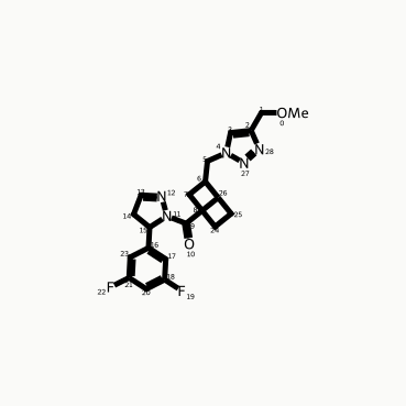 COCc1cn(CC2CC3(C(=O)N4N=CCC4c4cc(F)cc(F)c4)CCC23)nn1